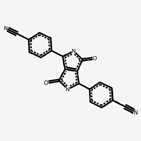 N#Cc1ccc(-c2nc(=O)c3c(-c4ccc(C#N)cc4)nc(=O)c2=3)cc1